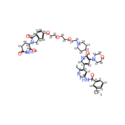 Cc1ncc(NC(=O)c2cccc(C(F)(F)F)c2)cc1-c1cnc(OC2CCN(CCOCCOCCOc3ccc4c(c3)CN(C3CCC(=O)NC3=O)C4=O)CC2)c(N2CCOCC2)c1